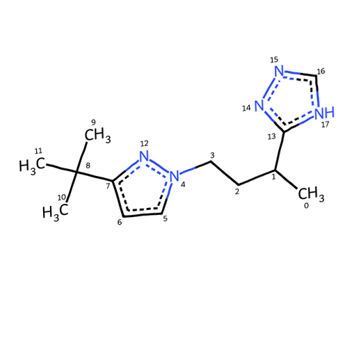 CC(CCn1ccc(C(C)(C)C)n1)c1nnc[nH]1